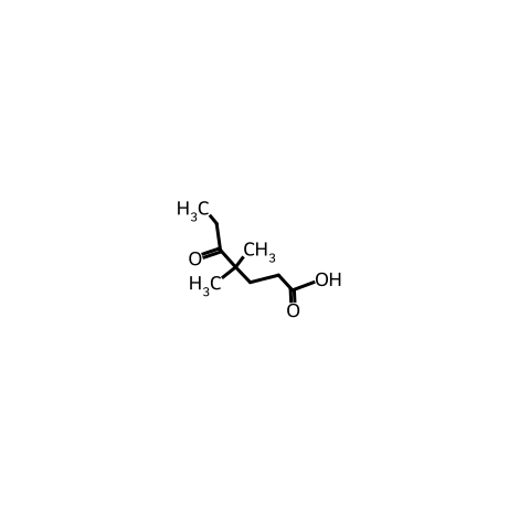 CCC(=O)C(C)(C)CCC(=O)O